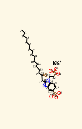 CCCCCCCCCCCCCCCC(=S)Cc1nc2cc(S(=O)(=O)[O-])ccc2n1CCS(=O)(=O)[O-].[K+].[K+]